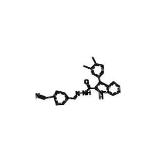 Cc1ccc(-c2c(C(=O)NN=Cc3ccc(C#N)cc3)[nH]c3ccccc23)cc1C